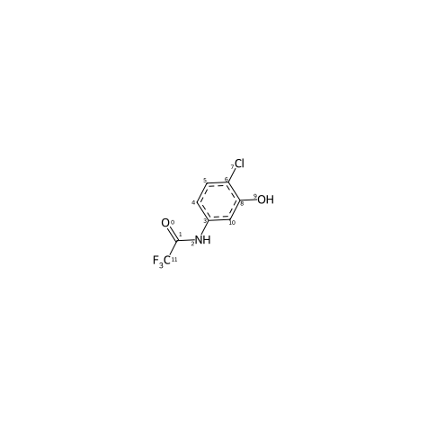 O=C(Nc1ccc(Cl)c(O)c1)C(F)(F)F